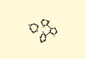 c1cnccn1.c1csc(-c2ccsc2-c2cccs2)c1